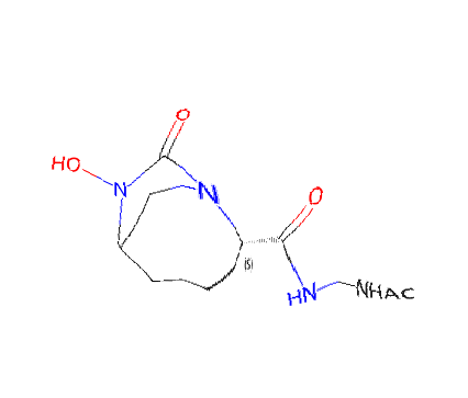 CC(=O)NNC(=O)[C@@H]1CCC2CN1C(=O)N2O